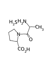 CC(N)C(=O)N1CCCC1C(=O)O.S